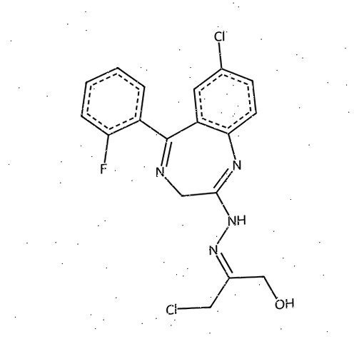 OC/C(CCl)=N\NC1=Nc2ccc(Cl)cc2C(c2ccccc2F)=NC1